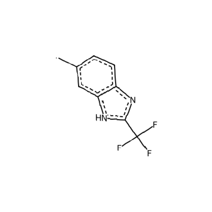 [CH2]c1ccc2nc(C(F)(F)F)[nH]c2c1